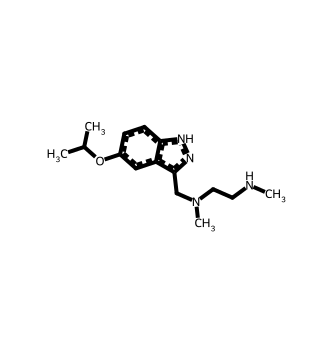 CNCCN(C)Cc1n[nH]c2ccc(OC(C)C)cc12